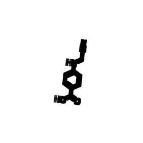 N#CCNc1ccc(C(=O)O)cc1